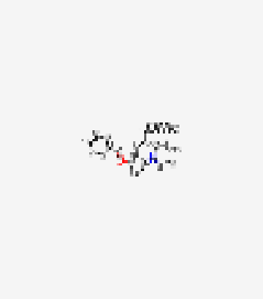 COC=CCC1C(OCc2ccccc2)CCC1N1CCCCC1